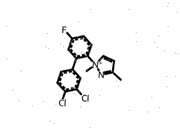 CC1=N[N+](C)(c2ccc(F)cc2-c2ccc(Cl)c(Cl)c2)C=C1